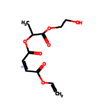 C=COC(=O)/C=C\C(=O)OC(C)C(=O)OCCO